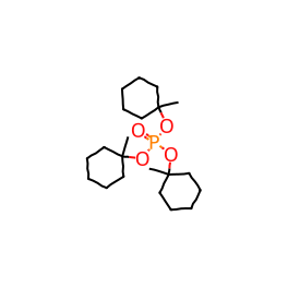 CC1(OP(=O)(OC2(C)CCCCC2)OC2(C)CCCCC2)CCCCC1